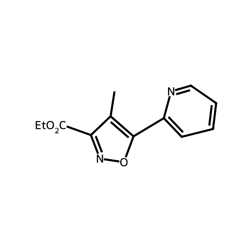 CCOC(=O)c1noc(-c2ccccn2)c1C